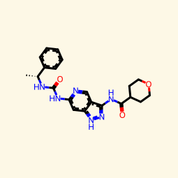 C[C@@H](NC(=O)Nc1cc2[nH]nc(NC(=O)C3CCOCC3)c2cn1)c1ccccc1